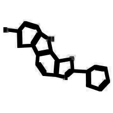 Brc1ccc2[nH]c3c(ccc4nc(-c5ccccc5)oc43)c2c1